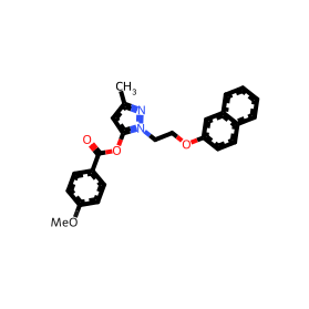 COc1ccc(C(=O)Oc2cc(C)nn2CCOc2ccc3ccccc3c2)cc1